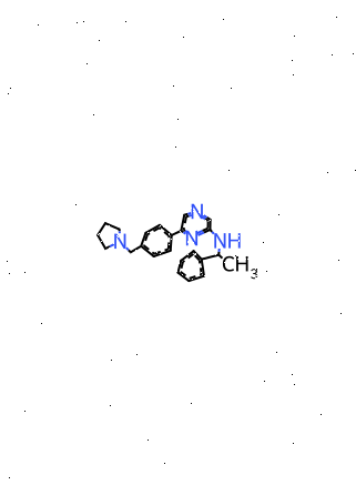 CC(Nc1cncc(-c2ccc(CN3CCCC3)cc2)n1)c1ccccc1